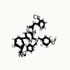 COc1ccc(CN(Cc2ccc(OC)cc2)c2nc(-c3cccc(C#N)c3)cn3nc(Cc4ncccc4Cl)nc23)cc1